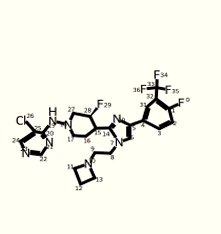 Fc1ccc(-c2cn(CCN3CCC3)c(C3CCN(Nc4ncncc4Cl)C[C@H]3F)n2)cc1C(F)(F)F